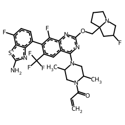 C=CC(=O)N1CC(C)N(c2nc(OCC34CCCN3CC(F)C4)nc3c(F)c(-c4ccc(F)c5sc(N)nc45)c(C(F)(F)F)cc23)CC1C